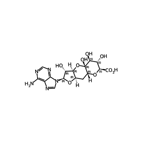 Nc1ncnc2c1ncn2[C@@H]1O[C@@H]2C[C@H]3O[C@H](C(=O)O)[C@@H](O)[C@H](O)[C@@]3(O)O[C@@H]2[C@H]1O